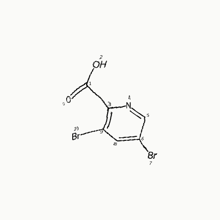 O=C(O)c1ncc(Br)cc1Br